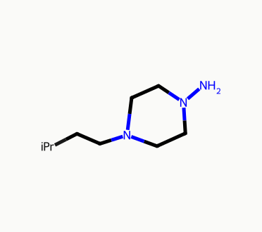 CC(C)CCN1CCN(N)CC1